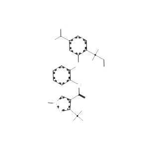 CCC(C)(C)c1ccc(C(C)C)cc1Oc1ccccc1NC(=O)c1cn(C)nc1C(F)(F)F